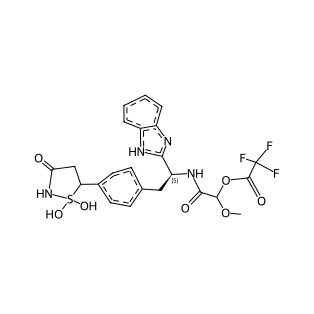 COC(OC(=O)C(F)(F)F)C(=O)N[C@@H](Cc1ccc(C2CC(=O)NS2(O)O)cc1)c1nc2ccccc2[nH]1